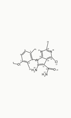 COc1ccc(C)c(-n2c(N)c(C(N)=O)c3c(Cl)nc(C)nc32)c1C